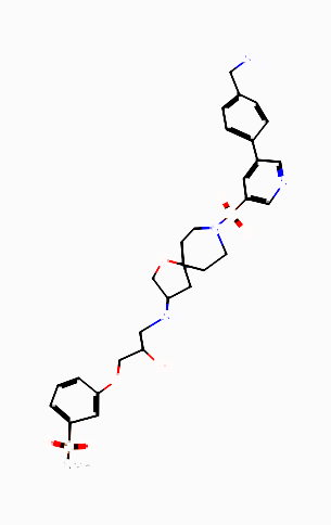 CNS(=O)(=O)c1cccc(OCC(O)CNC2COC3(CCN(S(=O)(=O)c4cncc(-c5ccc(CN)cc5)c4)CC3)C2)c1